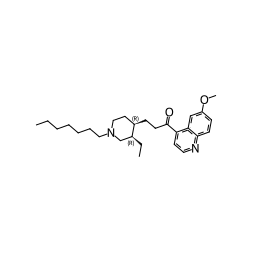 CCCCCCCN1CC[C@@H](CCC(=O)c2ccnc3ccc(OC)cc23)[C@@H](CC)C1